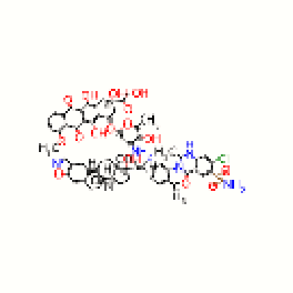 C#C[C@]1(O)CC[C@H]2[C@@H]3CCC4=Cc5oncc5C[C@]4(C)[C@H]3CC[C@@]21C.COc1cccc2c1C(=O)c1c(O)c3c(c(O)c1C2=O)C[C@@](O)(C(=O)CO)C[C@@H]3O[C@H]1C[C@H](N)[C@H](O)[C@H](C)O1.Cc1ccccc1N1C(=O)c2cc(S(N)(=O)=O)c(Cl)cc2NC1C